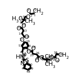 C=CC(=O)OCC(C)(C)COC(=O)CCC(=O)Oc1ccc(OC(=O)CCC(=O)OCC(C)(C)COC(=O)C=C)c(/C=N/Nc2nc3ccccc3s2)c1